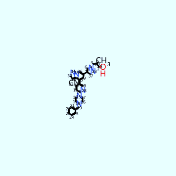 C[C@@H](CO)Cn1cc(-c2cc(-c3ccc(N4CCN(Cc5ccccc5)CC4)nc3)c3c(C#N)cnn3c2)cn1